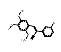 COc1cc(OC)c(OC)cc1C=C(C#N)c1cccc(Cl)c1